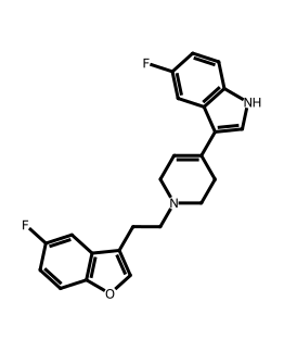 Fc1ccc2[nH]cc(C3=CCN(CCc4coc5ccc(F)cc45)CC3)c2c1